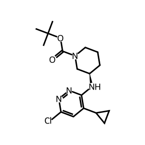 CC(C)(C)OC(=O)N1CCC[C@@H](Nc2nnc(Cl)cc2C2CC2)C1